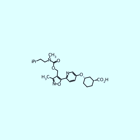 Cc1noc(-c2ccc(O[C@H]3CCC[C@H](C(=O)O)C3)cn2)c1COC(=O)N(C)CCC(C)C